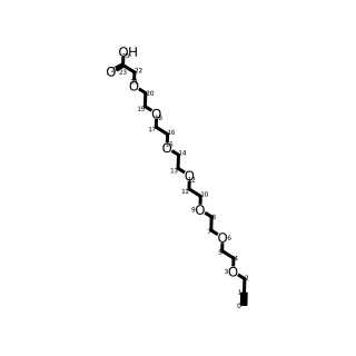 C#CCOCCOCCOCCOCCOCCOCCOCC(=O)O